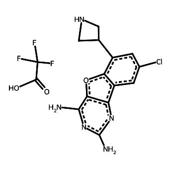 Nc1nc(N)c2oc3c(C4CNC4)cc(Cl)cc3c2n1.O=C(O)C(F)(F)F